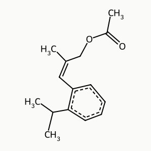 CC(=O)OCC(C)=Cc1ccccc1C(C)C